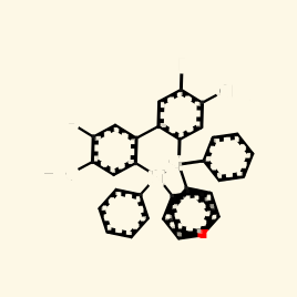 Cc1cc2c(cc1F)-c1cc(F)c(C)cc1[Si](c1ccccc1)(c1ccccc1)[Si]2(c1ccccc1)c1ccccc1